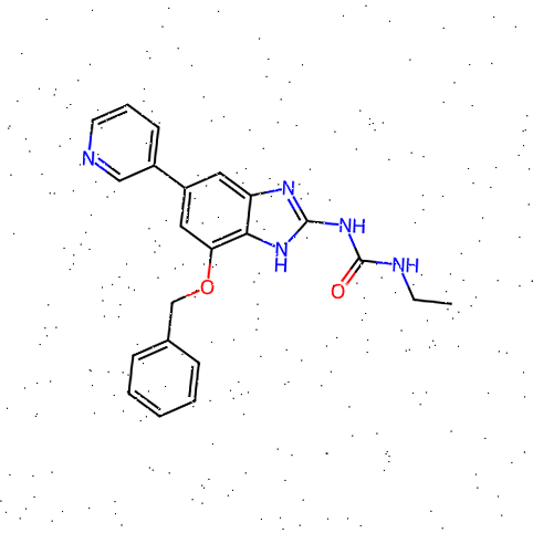 CCNC(=O)Nc1nc2cc(-c3cccnc3)cc(OCc3ccccc3)c2[nH]1